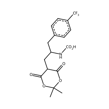 CC1(C)OC(=O)C(CC(Cc2ccc(C(F)(F)F)cc2)NC(=O)O)C(=O)O1